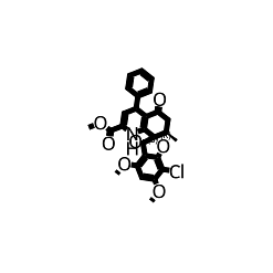 COC(=O)C1=CC(c2ccccc2)C2=C(N1)[C@@]1(Oc3c(Cl)c(OC)cc(OC)c3C1=O)[C@H](C)CC2=O